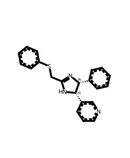 c1ccc(SCC2=N[C@H](c3ccccc3)[C@H](c3cccnc3)N2)cc1